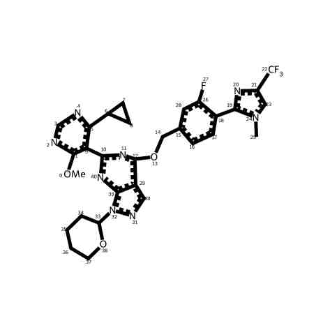 COc1ncnc(C2CC2)c1-c1nc(OCc2ccc(-c3nc(C(F)(F)F)cn3C)c(F)c2)c2cnn(C3CCCCO3)c2n1